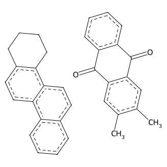 Cc1cc2c(cc1C)C(=O)c1ccccc1C2=O.c1ccc2c(c1)ccc1c3c(ccc12)CCCC3